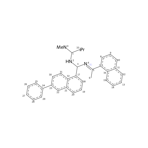 CNC(NC(/N=C(\C)c1cccc2ccccc12)c1cccc2cc(-c3ccccc3)ccc12)C(C)C